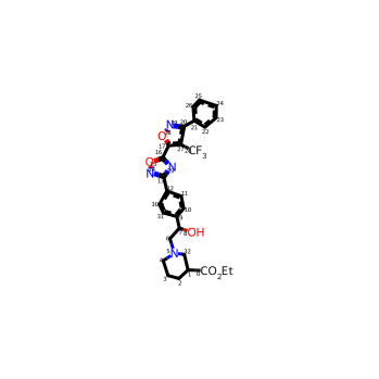 CCOC(=O)C1CCCN(CC(O)c2ccc(-c3noc(-c4onc(-c5ccccc5)c4C(F)(F)F)n3)cc2)C1